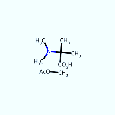 CN(C)C(C)(C)C(=O)O.COC(C)=O